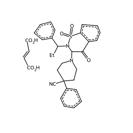 CCC(c1ccccc1)N1C(N2CCC(C#N)(c3ccccc3)CC2)C(=O)c2ccccc2S1(=O)=O.O=C(O)C=CC(=O)O